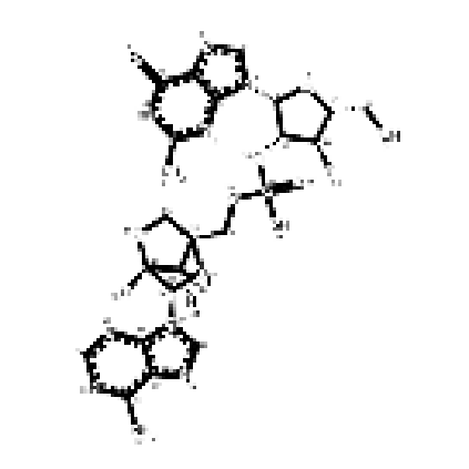 Nc1nc2c(ncn2[C@@H]2O[C@H](CO)[C@@H](F)[C@@H]2OP(=O)(S)OC[C@@]23CO[C@@H]([C@H](n4cnc5c(N)ncnc54)O2)[C@@H]3O)c(=O)[nH]1